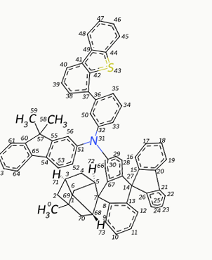 CC12C[C@H]3C[C@H](C1)C1(c4ccccc4C4(c5ccccc5-c5ccccc54)c4ccc(N(c5cccc(-c6cccc7c6sc6ccccc67)c5)c5ccc6c(c5)C(C)(C)c5ccccc5-6)cc41)[C@@H](C3)C2